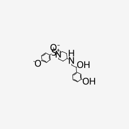 COc1ccc([S+]([O-])N2CCC(NCC(O)c3cccc(O)c3)CC2)cc1